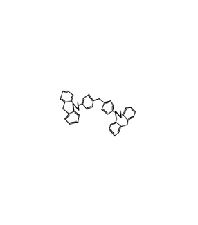 c1ccc2c(c1)Cc1ccccc1N2c1ccc(Cc2ccc(N3c4ccccc4Cc4ccccc43)cc2)cc1